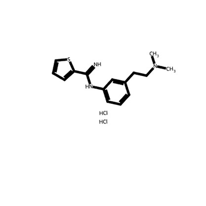 CN(C)CCc1cccc(NC(=N)c2cccs2)c1.Cl.Cl